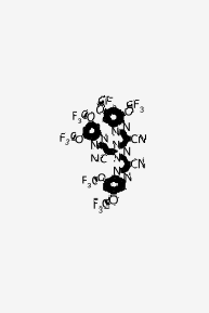 N#CC(=C1N=c2cc(OC(F)(F)F)cc(OC(F)(F)F)c2=N1)c1nc(C(C#N)=C2N=c3cc(OC(F)(F)F)cc(OC(F)(F)F)c3=N2)nc(C(C#N)=C2N=c3cc(OC(F)(F)F)cc(OC(F)(F)F)c3=N2)n1